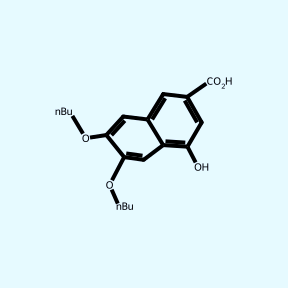 CCCCOc1cc2cc(C(=O)O)cc(O)c2cc1OCCCC